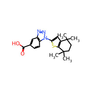 CC1(C)CCC(C)(C)c2sc(-n3nnc4cc(C(=O)O)ccc43)cc21